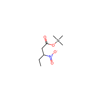 CCC(CC(=O)O[Si](C)(C)C)[N+](=O)[O-]